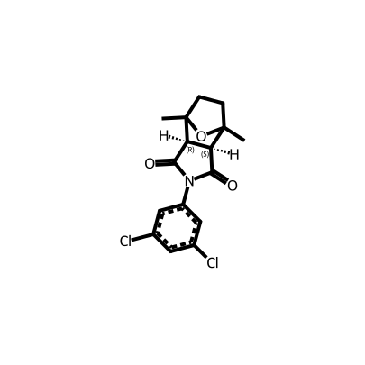 CC12CCC(C)(O1)[C@H]1C(=O)N(c3cc(Cl)cc(Cl)c3)C(=O)[C@H]12